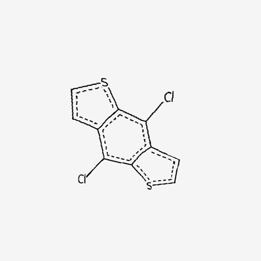 Clc1c2ccsc2c(Cl)c2ccsc12